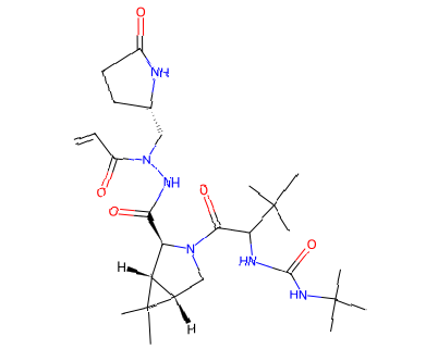 C=CC(=O)N(C[C@@H]1CCC(=O)N1)NC(=O)[C@@H]1[C@@H]2[C@H](CN1C(=O)C(NC(=O)NC(C)(C)C)C(C)(C)C)C2(C)C